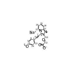 COc1ccc(C#Cc2c(COCC(=O)[O-])nc3ccccn23)cc1.[Na+]